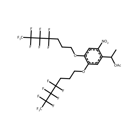 CC(=O)OC(C)c1cc(OCCCC(F)(F)C(F)(F)C(F)(F)C(F)(F)F)c(OCCCC(F)(F)C(F)(F)C(F)(F)C(F)(F)F)cc1[N+](=O)[O-]